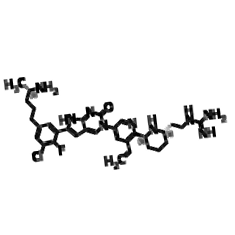 C=Cc1cc(-n2cc3cc(-c4cc(CCC[C@H](C)N)cc(Cl)c4F)[nH]c3nc2=O)cnc1[C@@H]1CCC[C@@H](CCNC(=N)N)N1